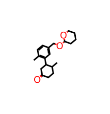 Cc1ccc(COC2CCCCO2)cc1C1CC(=O)CCC1C